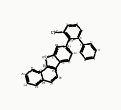 Clc1cccc(-c2ccccc2)c1-c1ccc2c(c1)sc1c3ccccc3ccc21